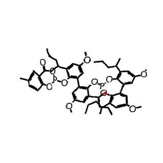 CCCC(C)c1cc(OC)cc(-c2cc(OC)cc(C(C)CCC)c2Op2oc3c(C(C)CCC)cc(OC)cc3c3cc(OC)cc(C(C)CCC)c3o2)c1OP1OC(=O)c2cc(C)ccc2O1